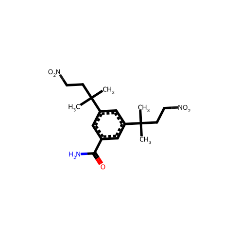 CC(C)(CC[N+](=O)[O-])c1cc(C(N)=O)cc(C(C)(C)CC[N+](=O)[O-])c1